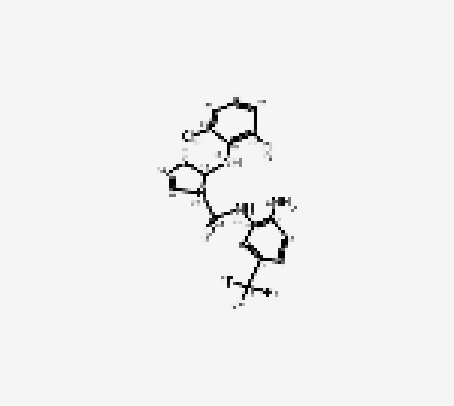 Nc1ccc(C(F)(F)F)cc1NC(=O)N1C=CSC1Nc1c(Cl)cccc1Cl